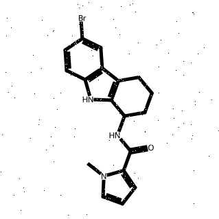 Cn1cccc1C(=O)NC1CCCc2c1[nH]c1ccc(Br)cc21